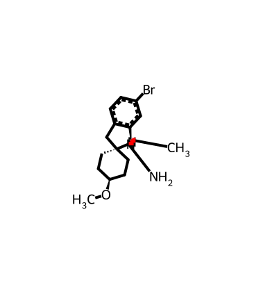 CO[C@H]1CC[C@]2(CC1)Cc1ccc(Br)cc1[C@@]21N=C(C)C(N)=N1